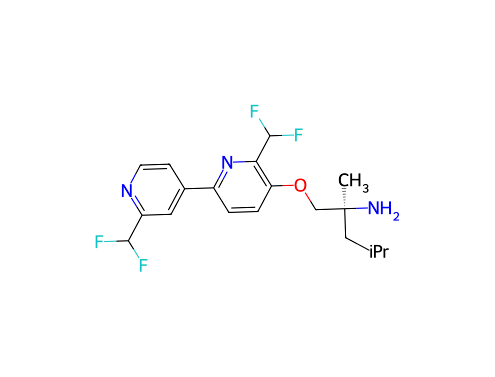 CC(C)C[C@](C)(N)COc1ccc(-c2ccnc(C(F)F)c2)nc1C(F)F